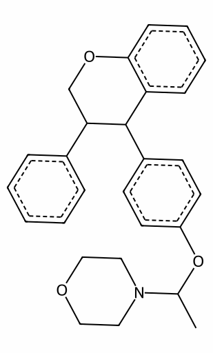 CC(Oc1ccc(C2c3ccccc3OCC2c2ccccc2)cc1)N1CCOCC1